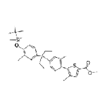 CCC(CC)(c1ccc(O[Si](C)(C)C(C)(C)C)c(C)c1)c1ccc(-c2sc(C(=O)OC)cc2C)c(C)c1